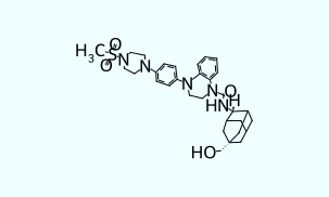 CS(=O)(=O)N1CCN(c2ccc(N3CCN(C(=O)N[C@H]4C5CC6CC4C[C@@](CO)(C6)C5)c4ccccc43)cc2)CC1